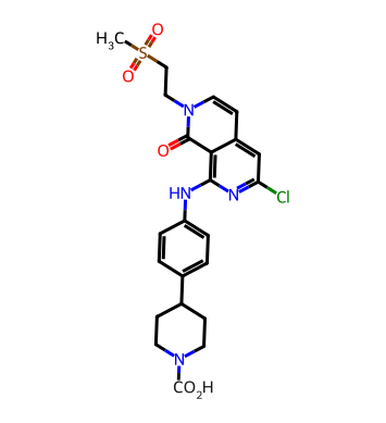 CS(=O)(=O)CCn1ccc2cc(Cl)nc(Nc3ccc(C4CCN(C(=O)O)CC4)cc3)c2c1=O